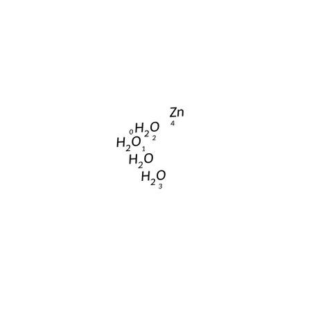 O.O.O.O.[Zn]